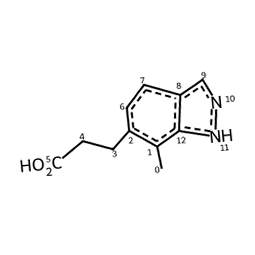 Cc1c(CCC(=O)O)ccc2cn[nH]c12